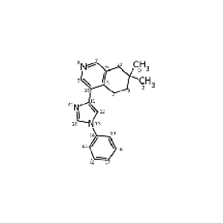 CC1(C)CCc2c(cncc2-c2cn(-c3c[c]ccc3)cn2)C1